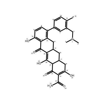 CN(C)Cc1cc(-c2ccc(O)c3c2CC2CC4CC(O)=C(C(N)=O)C(=O)C4C(O)=C2C3=O)ccc1F